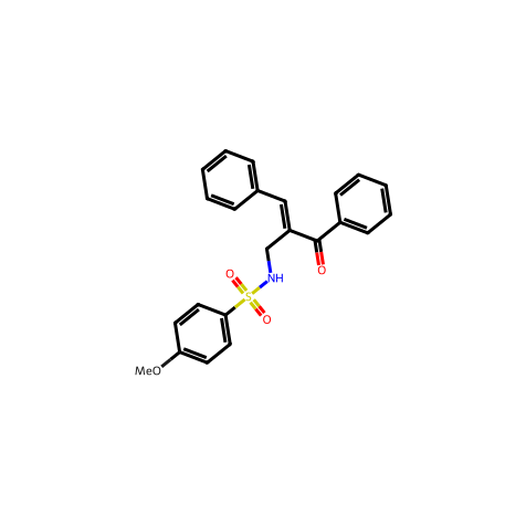 COc1ccc(S(=O)(=O)NC/C(=C\c2ccccc2)C(=O)c2ccccc2)cc1